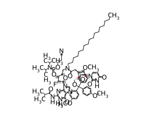 CCCCCCCCCCCCCCCCCN(C[C@H]1O[C@@H](n2cnc3c(=O)[nH]c(NC(=O)C(C)C)nc32)[C@H](F)[C@@H]1OP(OCCC#N)N(C(C)C)C(C)C)C(=O)C[C@H]1[C@@H](OC)[C@H](n2ccc(=O)[nH]c2=O)O[C@@H]1COC(c1ccccc1)(c1ccc(OC)cc1)c1ccc(OC)cc1